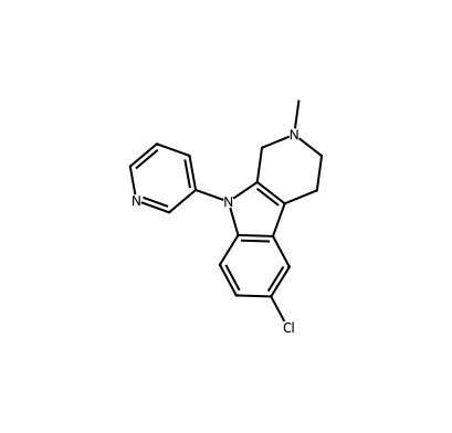 CN1CCc2c(n(-c3cccnc3)c3ccc(Cl)cc23)C1